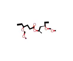 C=CC(CCC(=O)O[C@H](C)C[C@@H](C=C)OCOC)OCOC